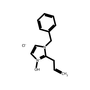 C=CCc1n(Cc2ccccc2)cc[n+]1O.[Cl-]